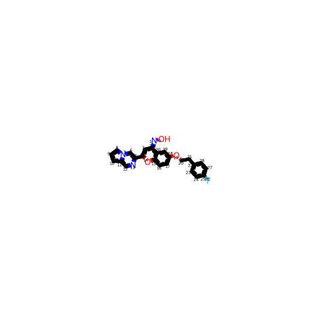 O/N=c1/cc(-c2cn3cccc3cn2)oc2ccc(OCCc3ccc(F)cc3)cc12